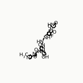 Cc1cc(-c2nc(C(=O)Nc3cc4oc(NCCNCc5cc(F)c6c(c5)CN(C5CCC(=O)NC5=O)C6=O)nc4nc3N3CC[C@@H](O)C3)co2)ccn1